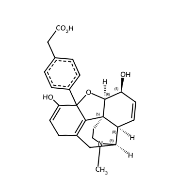 CN1CC[C@]23C4=C5CC=C(O)C4(c4ccc(CC(=O)O)cc4)O[C@H]2[C@@H](O)C=C[C@H]3[C@H]1C5